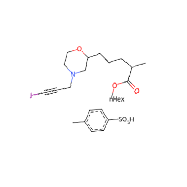 CCCCCCOC(=O)C(C)CCCC1CN(CC#CI)CCO1.Cc1ccc(S(=O)(=O)O)cc1